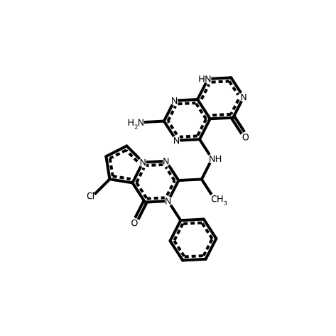 CC(Nc1nc(N)nc2[nH]cnc(=O)c12)c1nn2ccc(Cl)c2c(=O)n1-c1ccccc1